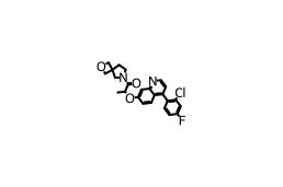 CC(Oc1ccc2c(-c3ccc(F)cc3Cl)ccnc2c1)C(=O)N1CCC2(COC2)C1